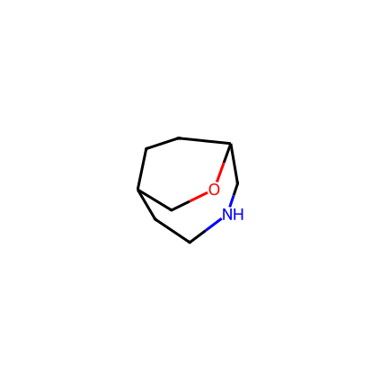 C1CC2CCC(CN1)OC2